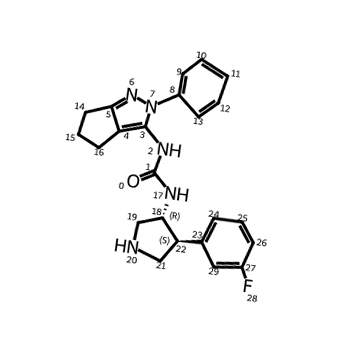 O=C(Nc1c2c(nn1-c1ccccc1)CCC2)N[C@H]1CNC[C@@H]1c1cccc(F)c1